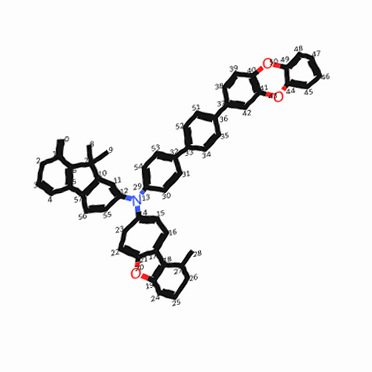 C=C1CC=CC2=C1C(C)(C)c1cc(N(C3=CC=c4c5c(oc4=CC3)C=CCC5C)c3ccc(-c4ccc(-c5ccc6c(c5)Oc5ccccc5O6)cc4)cc3)ccc12